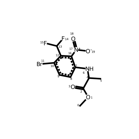 COC(=O)C(C)Nc1ccc(Br)c(C(F)F)c1[N+](=O)[O-]